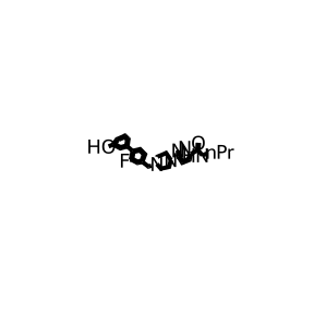 CCCNC(=O)c1ccc(N2CCN(Cc3ccc(-c4cccc(O)c4)c(F)c3)CC2)nn1